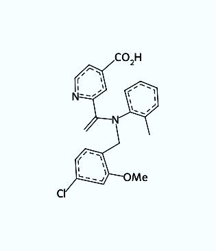 C=C(c1cc(C(=O)O)ccn1)N(Cc1ccc(Cl)cc1OC)c1ccccc1C